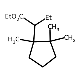 CCOC(=O)C(CC)C1(C)CCCC1(C)C